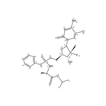 CC(C)OC(=O)[C@@H](C)NP(=O)(OC[C@H]1OC(n2cc(Cl)c(N)nc2=O)[C@](C)(F)[C@@H]1O)Oc1ccccc1